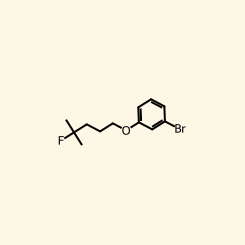 CC(C)(F)CCCOc1cccc(Br)c1